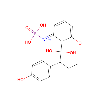 CCC(c1ccc(O)cc1)C(O)(O)C1C(O)=CC=C/C1=N\P(=O)(O)O